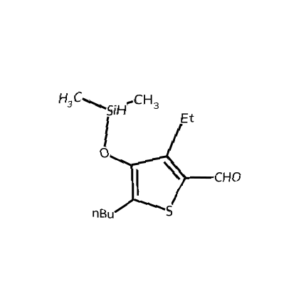 CCCCc1sc(C=O)c(CC)c1O[SiH](C)C